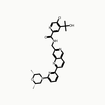 C[C@@H]1CN(c2cccc(-c3ccc4cnc(CNC(=O)c5cc(C(C)(C)O)c(Cl)cn5)cc4n3)n2)C[C@H](C)O1